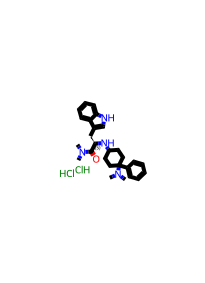 CN(C)C(=O)[C@H](Cc1c[nH]c2ccccc12)NC1CCC(c2ccccc2)(N(C)C)CC1.Cl.Cl